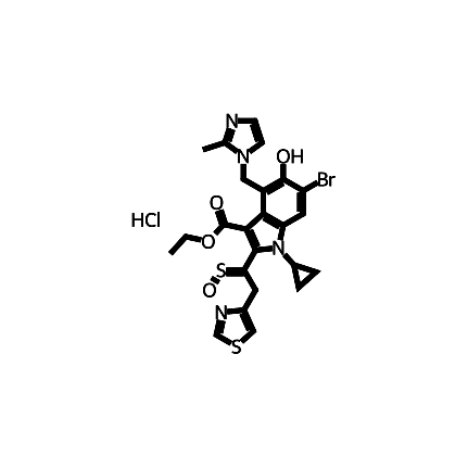 CCOC(=O)c1c(C(Cc2cscn2)=S=O)n(C2CC2)c2cc(Br)c(O)c(Cn3ccnc3C)c12.Cl